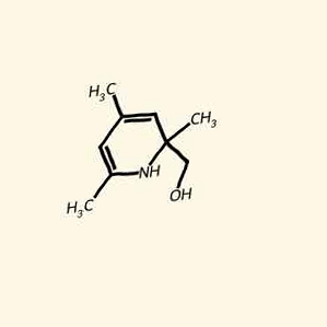 CC1=CC(C)(CO)NC(C)=C1